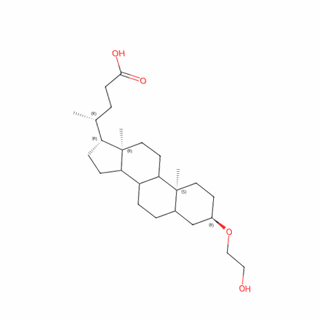 C[C@H](CCC(=O)O)[C@H]1CCC2C3CCC4C[C@H](OCCO)CC[C@]4(C)C3CC[C@@]21C